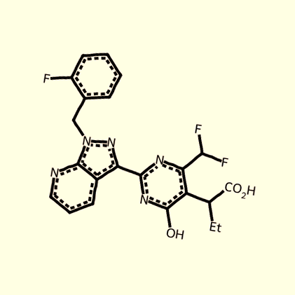 CCC(C(=O)O)c1c(O)nc(-c2nn(Cc3ccccc3F)c3ncccc23)nc1C(F)F